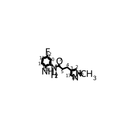 Cn1cc(CCC(=O)Nc2cc(F)ccc2N)cn1